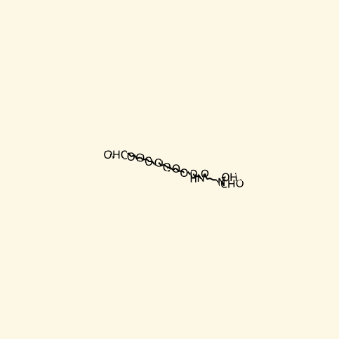 O=CCOCCOCCOCCOCCOCCOCCOCCOCCNC(=O)CCCCCN(C=O)CO